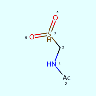 [CH2]C(=O)NC[SH](=O)=O